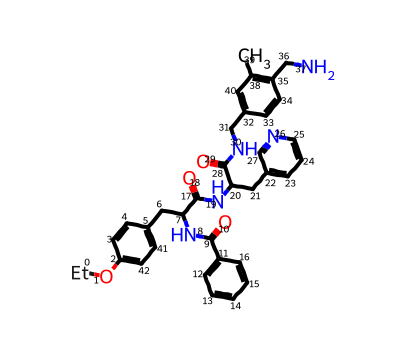 CCOc1ccc(CC(NC(=O)c2ccccc2)C(=O)NC(Cc2cccnc2)C(=O)NCc2ccc(CN)c(C)c2)cc1